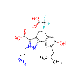 CC(C)Cc1cc2c(cc1O)CCc1c-2nn(CCCN)c1C(=O)O.O=C(O)C(F)(F)F